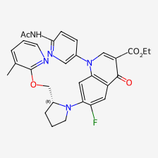 CCOC(=O)c1cn(-c2ccc(NC(C)=O)nc2)c2cc(N3CCC[C@@H]3COc3ncccc3C)c(F)cc2c1=O